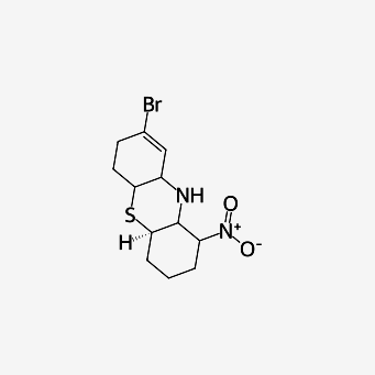 O=[N+]([O-])C1CCC[C@H]2SC3CCC(Br)=CC3NC12